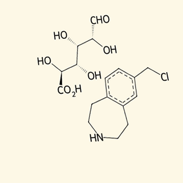 ClCc1ccc2c(c1)CCNCC2.O=C[C@H](O)[C@@H](O)[C@H](O)[C@H](O)C(=O)O